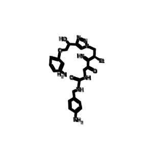 CC[C@H](Cn1cc(C(O)COc2cccc(N)c2)nn1)C(=N)C(=O)CNC(=O)NCc1ccc(N)cc1